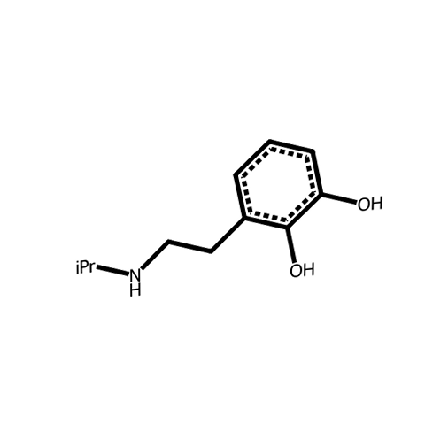 CC(C)NCCc1cccc(O)c1O